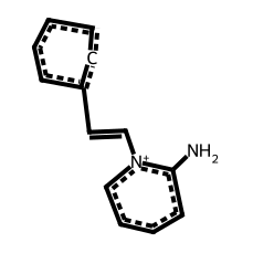 Nc1cccc[n+]1C=Cc1ccccc1